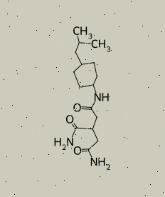 CC(C)CC1CCC(NC(=O)CC(CC(N)=O)C(N)=O)CC1